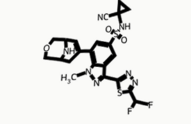 Cn1nc(-c2nnc(C(F)F)s2)c2cc(S(=O)(=O)NC3(C#N)CC3)cc(C3=CC4COCC(C3)N4)c21